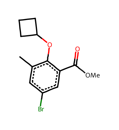 COC(=O)c1cc(Br)cc(C)c1OC1CCC1